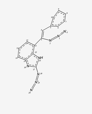 [N-]=[N+]=NC(=Cc1ccccc1)c1cccc2nc(N=[N+]=[N-])[nH]c12